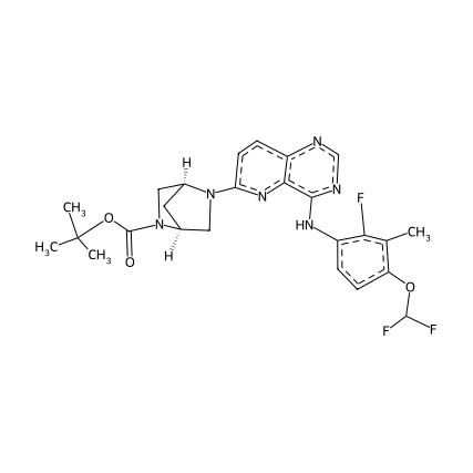 Cc1c(OC(F)F)ccc(Nc2ncnc3ccc(N4C[C@@H]5C[C@H]4CN5C(=O)OC(C)(C)C)nc23)c1F